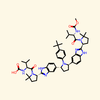 COC(=O)N[C@H](C(=O)N1[C@H](c2nc3cc([C@H]4CC[C@H](c5ccc6[nH]c([C@@H]7CCC(C)(C)N7C(=O)[C@@H](NC(=O)O)C(C)C)nc6c5)N4c4ccc(C(C)(C)C)cc4)ccc3[nH]2)CCC1(C)C)C(C)C